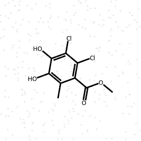 COC(=O)c1c(C)c(O)c(O)c(Cl)c1Cl